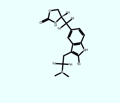 [2H]c1[nH]c2ccc(C([2H])([2H])[C@@]3([2H])COC(=O)N3)cc2c1CC([2H])([2H])N(C)C